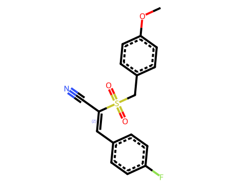 COc1ccc(CS(=O)(=O)/C(C#N)=C\c2ccc(F)cc2)cc1